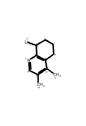 [Li][CH]1CCCc2c1ncc(C)c2C